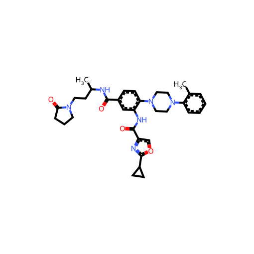 Cc1ccccc1N1CCN(c2ccc(C(=O)NC(C)CCN3CCCC3=O)cc2NC(=O)c2coc(C3CC3)n2)CC1